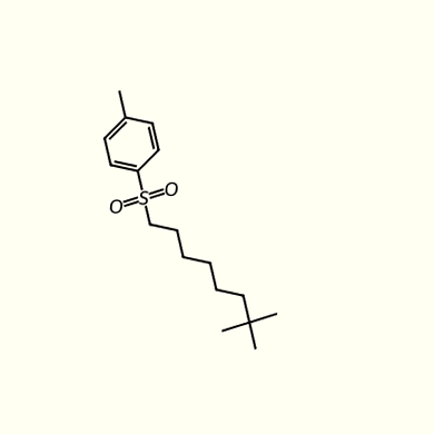 Cc1ccc(S(=O)(=O)CCCCCCC(C)(C)C)cc1